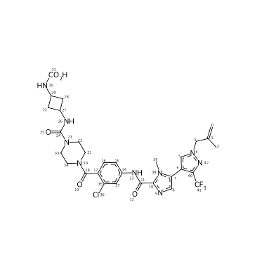 C=C(C)Cn1cc(-c2cnc(C(=O)Nc3ccc(C(=O)N4CCN(C(=O)NC5CC(NC(=O)O)C5)CC4)c(Cl)c3)n2C)c(C(F)(F)F)n1